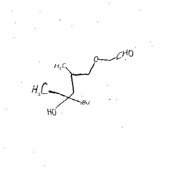 CCC(C)C(C)(O)C(C)COC=O